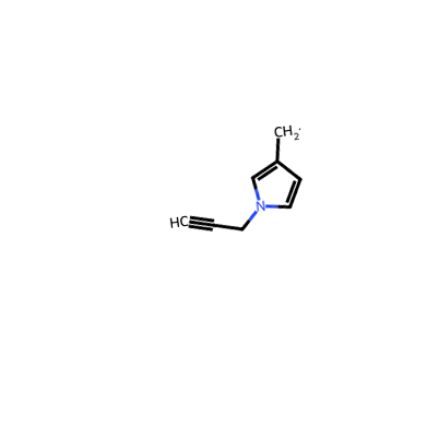 C#CCn1ccc([CH2])c1